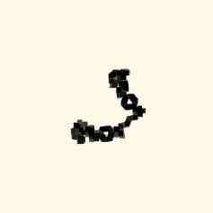 CN(CCCCN(C)c1ccc(N=Nc2scc[n+]2C)cc1)c1ccc(N=Nc2scc[n+]2C)cc1